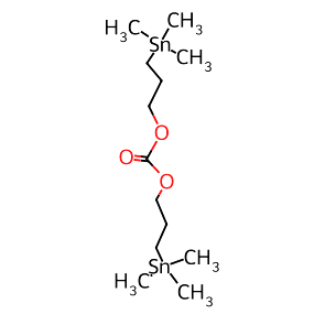 [CH3][Sn]([CH3])([CH3])[CH2]CCOC(=O)OCC[CH2][Sn]([CH3])([CH3])[CH3]